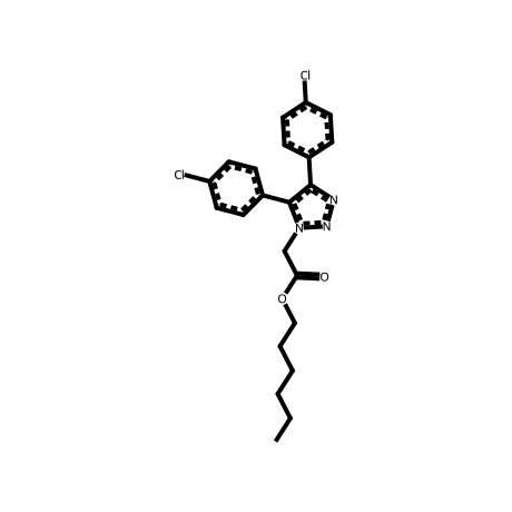 CCCCCCOC(=O)Cn1nnc(-c2ccc(Cl)cc2)c1-c1ccc(Cl)cc1